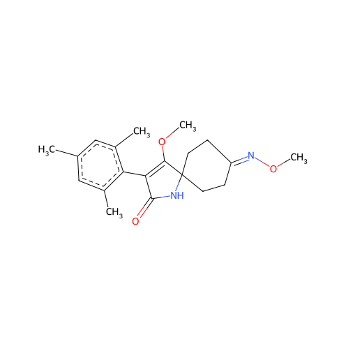 CON=C1CCC2(CC1)NC(=O)C(c1c(C)cc(C)cc1C)=C2OC